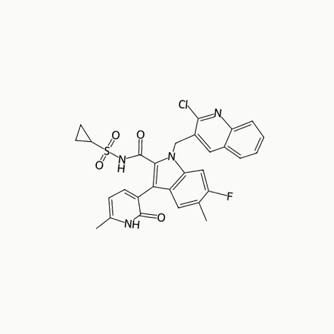 Cc1ccc(-c2c(C(=O)NS(=O)(=O)C3CC3)n(Cc3cc4ccccc4nc3Cl)c3cc(F)c(C)cc23)c(=O)[nH]1